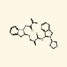 C=C(C)C(=O)OC1c2ccccc2CC1CCC(=C)C(=O)OC1c2ccccc2CC1C1CCCC1